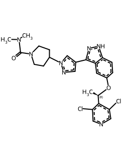 C[C@@H](Oc1ccc2[nH]nc(-c3cnn(C4CCN(C(=O)N(C)C)CC4)c3)c2c1)c1c(Cl)cncc1Cl